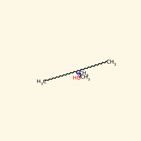 CCCCCCCCCCCCCCCCCCC(CCCCCCCCCCCCCCCCCC)CN(C)C(C)O